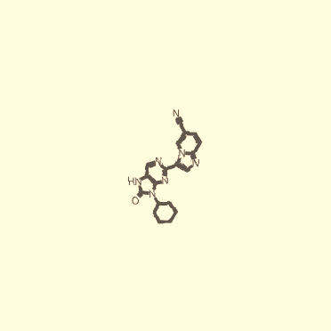 N#Cc1ccc2ncc(-c3ncc4[nH]c(=O)n(C5CCCCC5)c4n3)n2c1